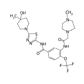 CN1CCN(CC(=O)Nc2cc(C(=O)Nc3nnc(N4CCC(C)(O)CC4)s3)ccc2OC(F)(F)F)CC1